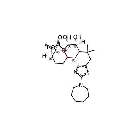 C=C1C(=O)[C@@]23C(CC[C@@H]1[C@H]2O)[C@@]12CO[C@@]3(O)[C@@H](O)C1C(C)(C)Cc1sc(N3CCCCCC3)nc12